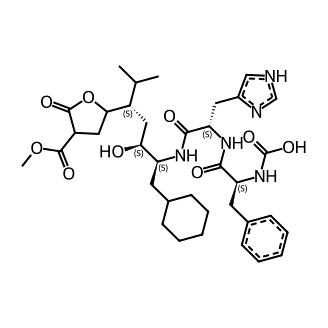 COC(=O)C1CC([C@@H](C[C@H](O)[C@H](CC2CCCCC2)NC(=O)[C@H](Cc2c[nH]cn2)NC(=O)[C@H](Cc2ccccc2)NC(=O)O)C(C)C)OC1=O